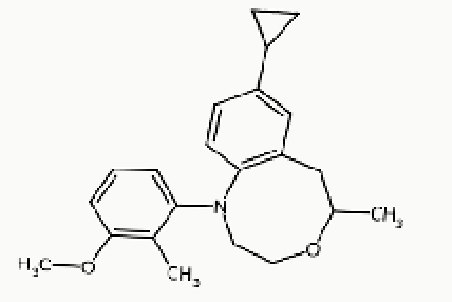 COc1cccc(N2CCOC(C)Cc3cc(C4CC4)ccc32)c1C